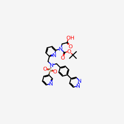 CC(C)(C)OC(=O)N(CC(=O)O)c1cccc(CN(Cc2ccc(-c3ccnnc3)cc2)S(=O)(=O)c2cccnc2)n1